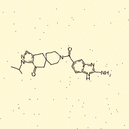 CC(C)n1ncc2c1C(=O)CC1(CCN(C(=O)c3ccc4[nH]c(N)nc4c3)CC1)C2